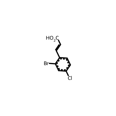 O=C(O)C=Cc1ccc(Cl)cc1Br